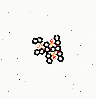 O=P(c1cccc2ccccc12)(c1cccc2ccccc12)c1ccc(P(=O)(c2cccc3ccccc23)c2ccc(P(=O)(c3cccc4ccccc34)c3cccc4ccccc34)c3ccccc23)c2ccccc12